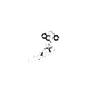 CC(=O)NCCNCc1nn(Cc2cc3cccc(C)c3c(=O)n2-c2ccccc2C)c2ncnc(N)c12